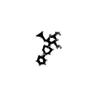 Nc1nc(N)c(N2CCN(c3ccccc3)CC2)c(CC2CC2)n1